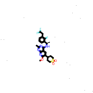 COc1nc2nc(C)nc(N[C@H](C)c3cccc(CC(F)F)c3F)c2cc1C1CCS(=O)(=O)CC1